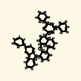 c1ccc(-c2ccc3c(c2)c2ccccc2n3-c2cccc3c2Oc2ccc(-c4nc(-c5ccccc5)nc(-c5ccccc5)n4)c4cccc-3c24)cc1